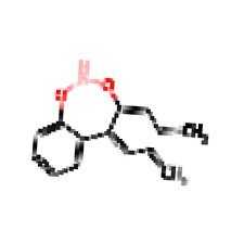 C=C/C=C1\C(=C/C=C)OBOc2ccccc21